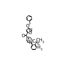 CC(C)(C)c1ccccc1N1CCN(C(=O)c2cc(OCc3ccccc3)no2)CC1